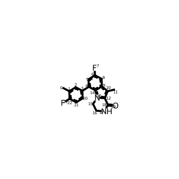 Cc1cc(-c2cc(F)cc3c(C)c4n(c23)CCNC4=O)ccc1F